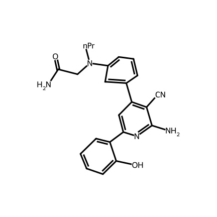 CCCN(CC(N)=O)c1cccc(-c2cc(-c3ccccc3O)nc(N)c2C#N)c1